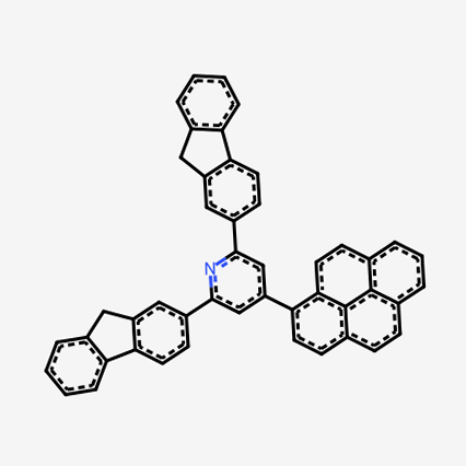 c1ccc2c(c1)Cc1cc(-c3cc(-c4ccc5ccc6cccc7ccc4c5c67)cc(-c4ccc5c(c4)Cc4ccccc4-5)n3)ccc1-2